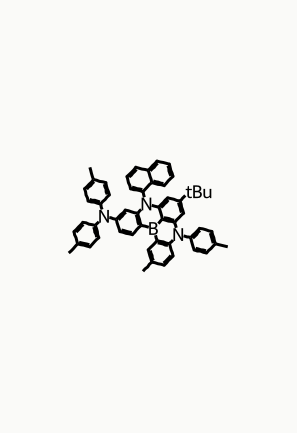 Cc1ccc(N(c2ccc(C)cc2)c2ccc3c(c2)N(c2cccc4ccccc24)c2cc(C(C)(C)C)cc4c2B3c2cc(C)ccc2N4c2ccc(C)cc2)cc1